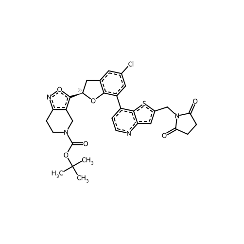 CC(C)(C)OC(=O)N1CCc2noc([C@H]3Cc4cc(Cl)cc(-c5ccnc6cc(CN7C(=O)CCC7=O)sc56)c4O3)c2C1